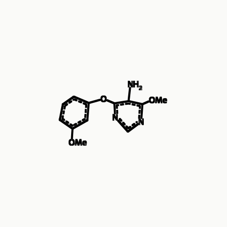 COc1cccc(Oc2ncnc(OC)c2N)c1